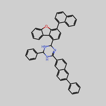 c1ccc(-c2ccc3cc(C4=NC(c5ccc(-c6cccc7ccccc67)c6oc7ccccc7c56)NC(c5ccccc5)N4)ccc3c2)cc1